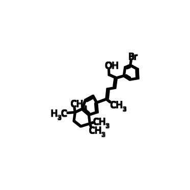 C/C(=C\C=C(/CO)c1cccc(Br)c1)c1ccc2c(c1)C(C)(C)CCC2(C)C